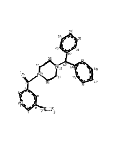 O=C(c1cncc(C(F)(F)F)c1)N1CCN(C(c2ccccc2)c2ccccc2)CC1